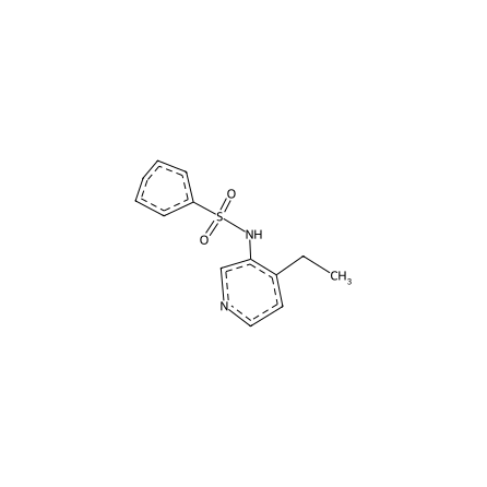 CCc1ccncc1NS(=O)(=O)c1ccccc1